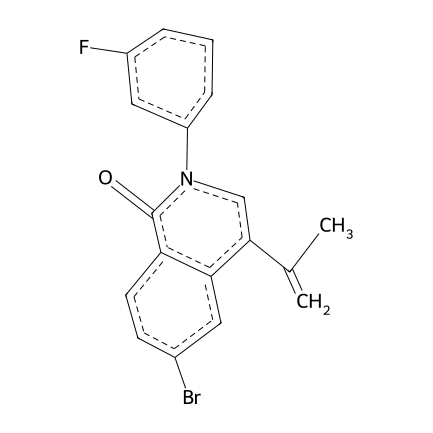 C=C(C)c1cn(-c2cccc(F)c2)c(=O)c2ccc(Br)cc12